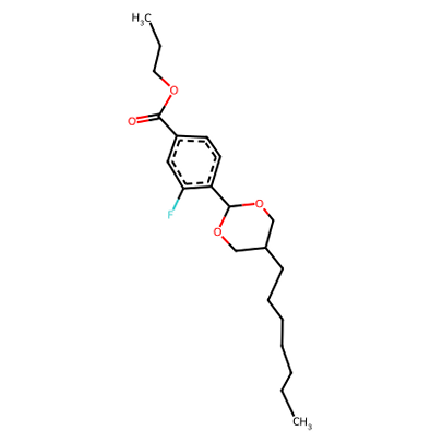 CCCCCCCC1COC(c2ccc(C(=O)OCCC)cc2F)OC1